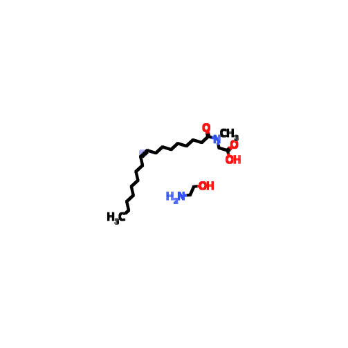 CCCCCCCC/C=C\CCCCCCCC(=O)N(C)CC(=O)O.NCCO